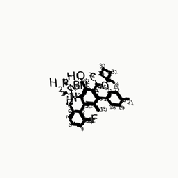 B=[SH](C)(P)N1Cc2cccc(F)c2-c2c(C)c(-c3ccc(C)cc3)c([C@H](OC3(C)CCC3)C(=O)O)c(C)c21